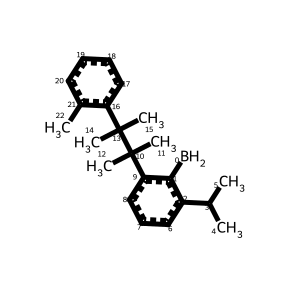 Bc1c(C(C)C)cccc1C(C)(C)C(C)(C)c1ccccc1C